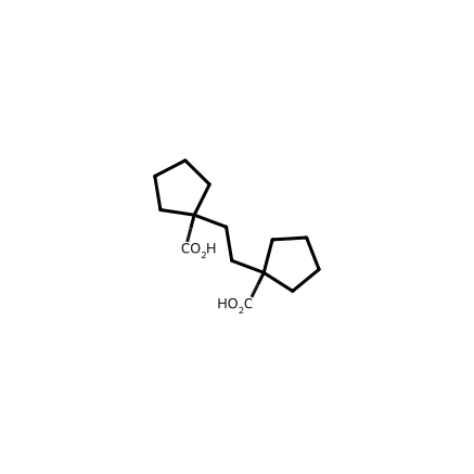 O=C(O)C1(CCC2(C(=O)O)CCCC2)CCCC1